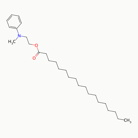 CCCCCCCCCCCCCCCCCC(=O)OCCN(C)c1ccccc1